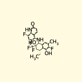 CC[C@@H]1C[C@@](O)(C(F)(F)F)[C@@H](Nc2ccc(F)c3[nH]c(=O)ccc23)c2cc(C)c(F)c(O)c21